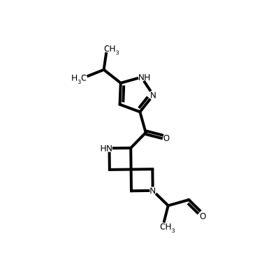 CC(C)c1cc(C(=O)C2NCC23CN(C(C)C=O)C3)n[nH]1